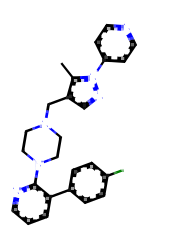 Cc1c(CN2CCN(c3ncccc3-c3ccc(F)cc3)CC2)cnn1-c1ccncc1.Cl